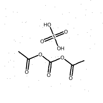 CC(=O)OC(=O)OC(C)=O.O=S(=O)(O)O